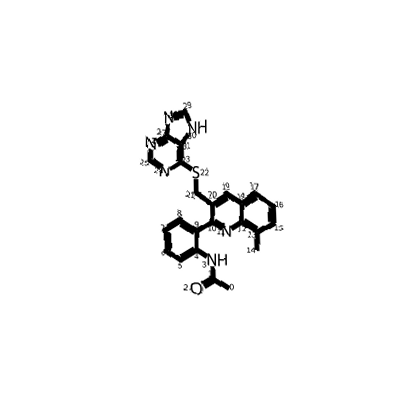 CC(=O)Nc1ccccc1-c1nc2c(C)cccc2cc1CSc1ncnc2nc[nH]c12